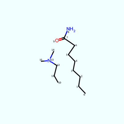 CCCCCCCC(N)=O.CCCN(C)C